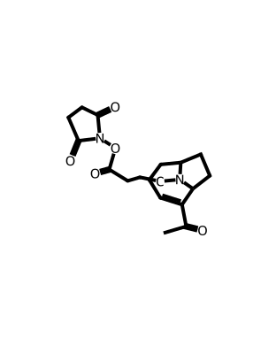 CC(=O)C1=CCCC2CCC1N2CCCC(=O)ON1C(=O)CCC1=O